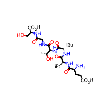 CC[C@H](C)[C@H](NC(=O)[C@@H](NC(=O)[C@@H](N)CCC(=O)O)C(C)C)C(=O)N[C@H](C(=O)NCC(=O)N[C@@H](CO)C(=O)O)[C@@H](C)O